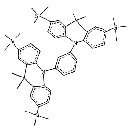 CC1(C)c2cc([Si](C)(C)C)ccc2N(c2cccc(N3c4ccc([Si](C)(C)C)cc4C(C)(C)c4cc([Si](C)(C)C)ccc43)c2)c2ccc([Si](C)(C)C)cc21